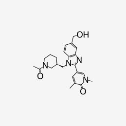 CC(=O)N1CCC[C@@H](Cn2c(-c3cc(C)c(=O)n(C)c3)nc3cc(CO)ccc32)C1